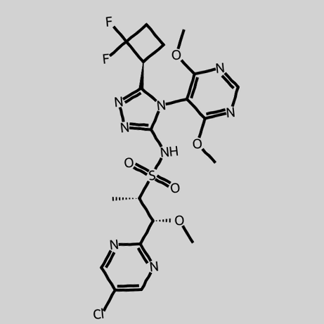 COc1ncnc(OC)c1-n1c(NS(=O)(=O)[C@@H](C)[C@H](OC)c2ncc(Cl)cn2)nnc1[C@@H]1CCC1(F)F